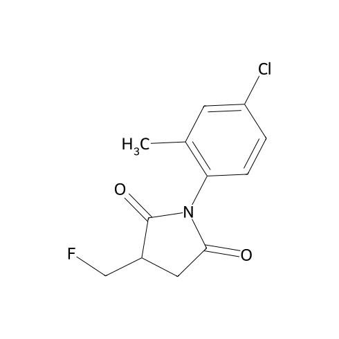 Cc1cc(Cl)ccc1N1C(=O)CC(CF)C1=O